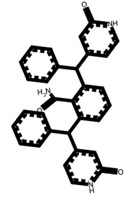 NC(=O)c1c(C(c2ccccc2)c2cc[nH]c(=O)c2)cccc1C(c1ccccc1)c1cc[nH]c(=O)c1